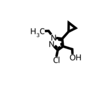 CCn1nc(Cl)c(CO)c1C1CC1